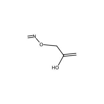 C=NOCC(=C)O